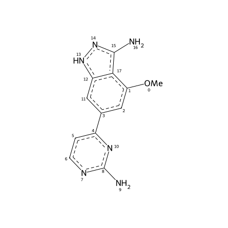 COc1cc(-c2ccnc(N)n2)cc2[nH]nc(N)c12